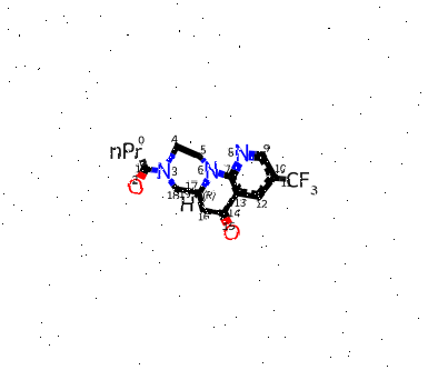 CCCC(=O)N1CCN2c3ncc(C(F)(F)F)cc3C(=O)C[C@@H]2C1